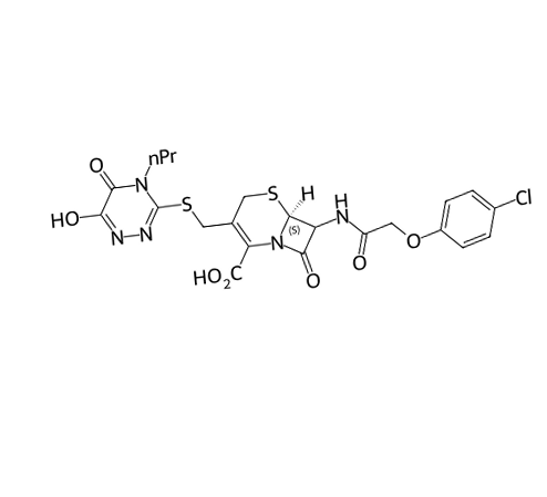 CCCn1c(SCC2=C(C(=O)O)N3C(=O)C(NC(=O)COc4ccc(Cl)cc4)[C@@H]3SC2)nnc(O)c1=O